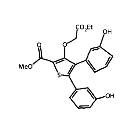 CCOC(=O)COc1c(C(=O)OC)sc(-c2cccc(O)c2)c1-c1cccc(O)c1